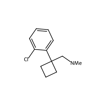 CNCC1(c2ccccc2Cl)CCC1